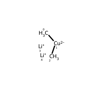 [CH3][Cu-2][CH3].[Li+].[Li+]